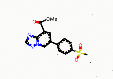 COC(=O)c1cc(-c2ccc(S(C)(=O)=O)cc2)cn2ncnc12